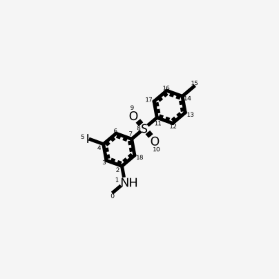 CNc1cc(I)cc(S(=O)(=O)c2ccc(C)cc2)c1